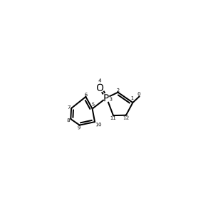 CC1=CP(=O)(c2ccccc2)CC1